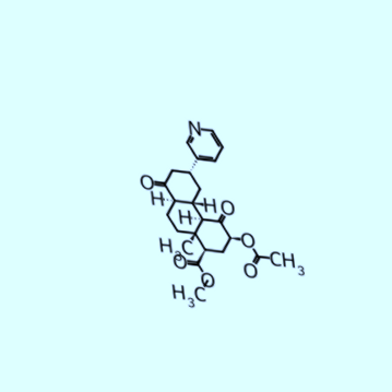 COC(=O)[C@@H]1C[C@H](OC(C)=O)C(=O)[C@@H]2[C@H]3C[C@@H](c4cccnc4)CC(=O)[C@@H]3CC[C@]21C